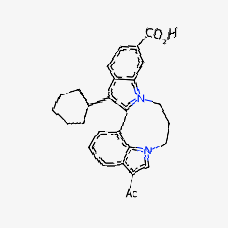 CC(=O)c1cn2c3c(cccc13)-c1c(C3CCCCC3)c3ccc(C(=O)O)cc3n1CCC2